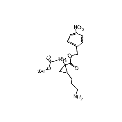 CC(C)(C)OC(=O)NC1(C(=O)OCc2ccc([N+](=O)[O-])cc2)CC1CCCN